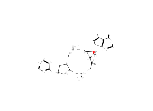 O=c1[nH]cnc2c1c(F)cn2[C@@H]1O[C@@H]2COP(=O)(S)O[C@H]3C[C@H](Oc4ccncn4)CC3COP(=O)(S)O[C@@H]1[C@@H]2O